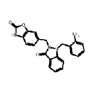 O=c1[nH]c2ccc(Cn3c(=O)c4ccccc4n3Cc3ccccc3C(F)(F)F)cc2o1